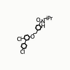 CC(C)CNC(=O)c1ccc(CCOc2ccc(Cl)c(-c3ccc(Cl)cc3)c2)cc1